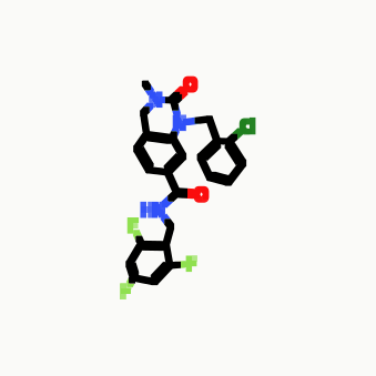 CN1Cc2ccc(C(=O)NCc3c(F)cc(F)cc3F)cc2N(Cc2ccccc2Cl)C1=O